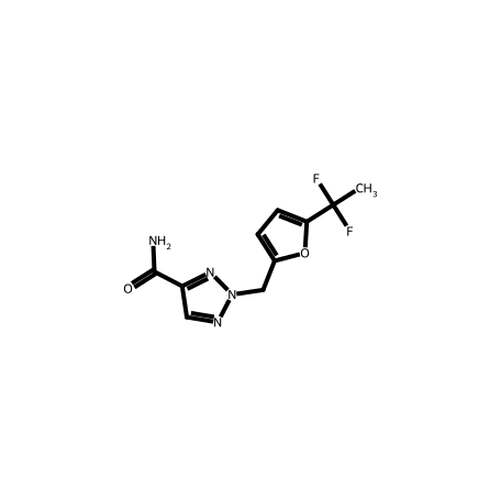 CC(F)(F)c1ccc(Cn2ncc(C(N)=O)n2)o1